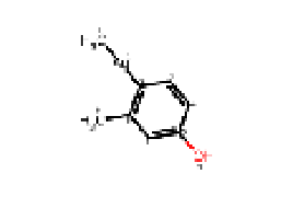 [CH3][Au][c]1ccc(O)cc1C